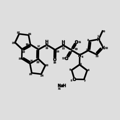 Cn1cc(N(C2CCOC2)S(=O)(=O)NC(=O)Nc2c3c(cc4c2CCC4)CCC3)cn1.[NaH]